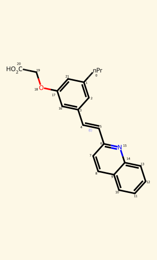 CCCc1cc(/C=C/c2ccc3ccccc3n2)cc(OCC(=O)O)c1